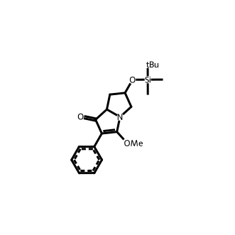 COC1=C(c2ccccc2)C(=O)C2CC(O[Si](C)(C)C(C)(C)C)CN12